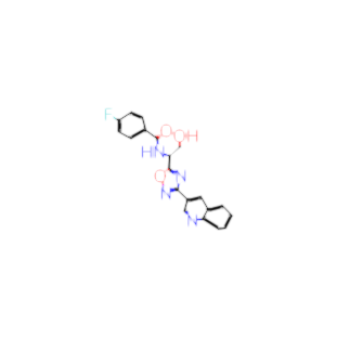 O=C(N[C@@H](CO)c1nc(-c2cnc3ccccc3c2)no1)c1ccc(F)cc1